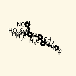 Cc1c(COc2cc(OCc3cncc(C#N)c3)c(C(C)N[C@@H](CO)C(=O)O)cc2Cl)cccc1-c1cccc(OCCCN2CC[C@@H](OI)C2)c1C